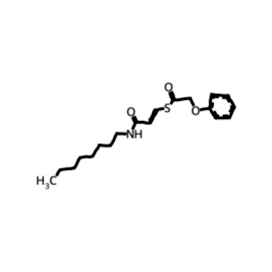 CCCCCCCCNC(=O)C=CSC(=O)COc1ccccc1